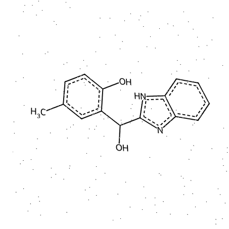 Cc1ccc(O)c(C(O)c2nc3ccccc3[nH]2)c1